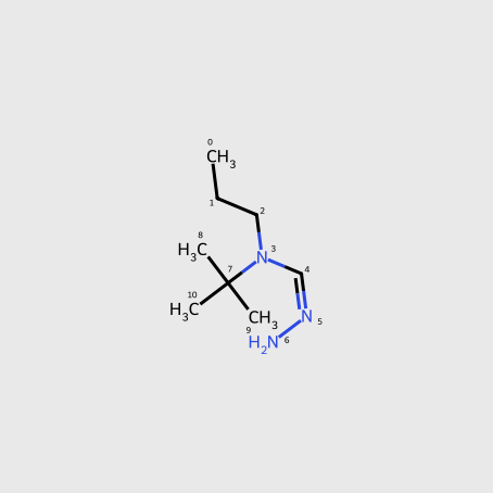 CCCN(/C=N\N)C(C)(C)C